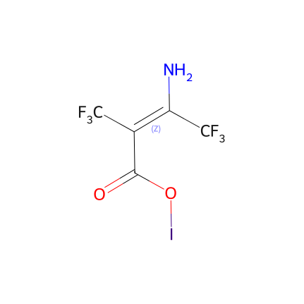 N/C(=C(/C(=O)OI)C(F)(F)F)C(F)(F)F